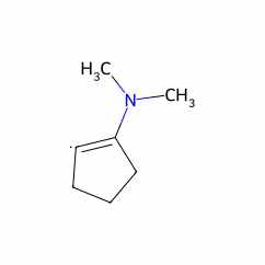 CN(C)C1=[C]CCC1